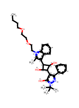 CCCCOCCOCCn1c(C)c(C2C(O)C(c3c(-c4ccccc4)nn(C(C)(C)C)c3O)C2O)c2ccccc21